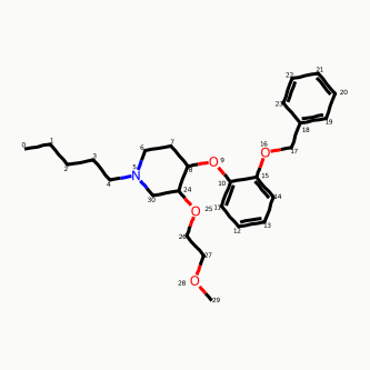 CCCCCN1CCC(Oc2ccccc2OCc2ccccc2)C(OCCOC)C1